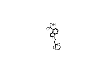 O=C(O)c1cccc2c1ccn2CCC1OCCCO1